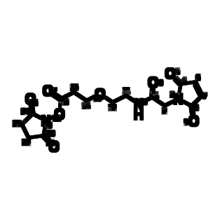 O=C(CN1C(=O)C=CC1=O)NCCOCCC(=O)ON1C(=O)CCC1=O